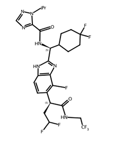 CC(C)n1ncnc1C(=O)N[C@H](c1nc2c(F)c([C@H](CC(F)F)C(=O)NCC(F)(F)F)ccc2[nH]1)C1CCC(F)(F)CC1